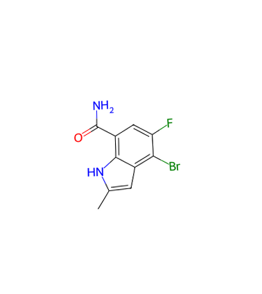 Cc1cc2c(Br)c(F)cc(C(N)=O)c2[nH]1